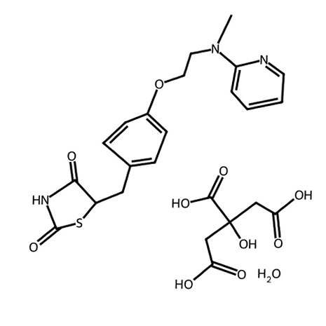 CN(CCOc1ccc(CC2SC(=O)NC2=O)cc1)c1ccccn1.O.O=C(O)CC(O)(CC(=O)O)C(=O)O